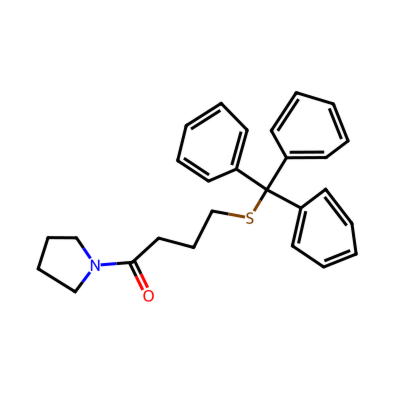 O=C(CCCSC(c1ccccc1)(c1ccccc1)c1ccccc1)N1CCCC1